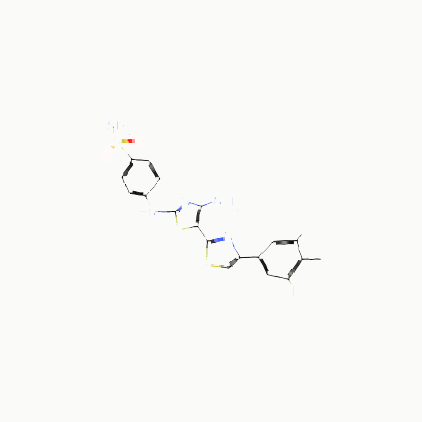 Cc1c(F)cc(-c2csc(-c3sc(Nc4ccc(S(N)(=O)=O)cc4)nc3N)n2)cc1Cl